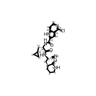 N#C[C@H](C[C@@H]1CCCNC1=O)NC(=O)[C@H](CC1CC1)NC(=O)c1cc2c(Cl)nccc2[nH]1